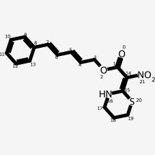 O=C(OCC=CC=Cc1ccccc1)C(=C1NCCCS1)[N+](=O)[O-]